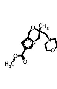 COC(=O)c1cc2n(c1)CC(C)(CN1CCOCC1)OC2